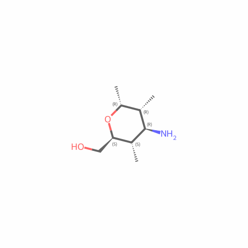 C[C@@H]1[C@@H](N)[C@H](C)[C@@H](CO)O[C@@H]1C